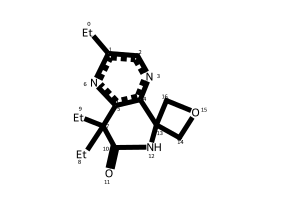 CCc1cnc2c(n1)C(CC)(CC)C(=O)NC21COC1